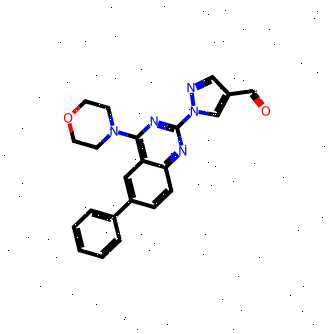 O=[C]c1cnn(-c2nc(N3CCOCC3)c3cc(-c4ccccc4)ccc3n2)c1